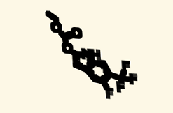 CCOC(=O)Oc1cc2cc(F)c(C(F)(F)F)cc2[nH]1